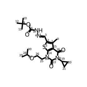 Cc1c(C=NNC(=O)OC(C)(C)C)sc2c1c(=O)n(C1CC1)c(=O)n2CCOC(C)C